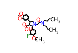 CCCCN(CCCC)C(=O)CN1CC(c2ccc3c(c2)OCO3)C(C(=O)O)C1c1ccc(OC)c(F)c1